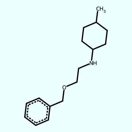 CC1CCC(NCCOCc2ccccc2)CC1